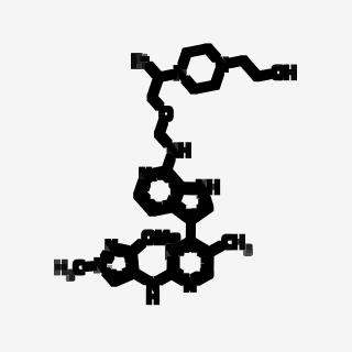 CCC(COCNc1nccc2c(-c3nc(Nc4cn(C)nc4OC)ncc3C)c[nH]c12)N1CCN(CCO)CC1